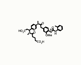 COc1cc(CC(=O)N(C)c2ccc(C(CC(=O)O)N(C)C(=O)CCCC(=O)O)nc2)ccc1NC(=O)Nc1ccccc1C